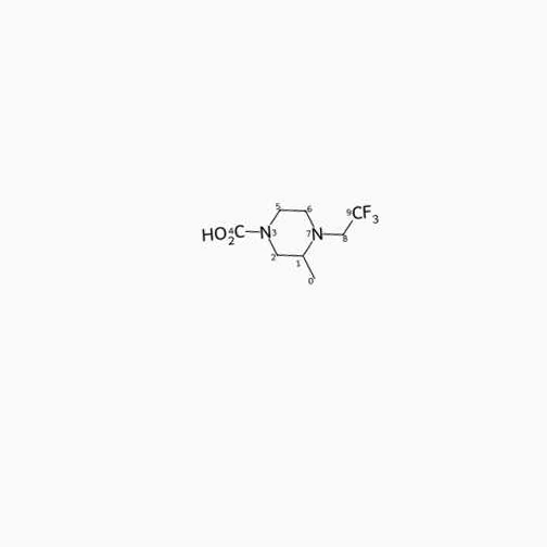 CC1CN(C(=O)O)CCN1CC(F)(F)F